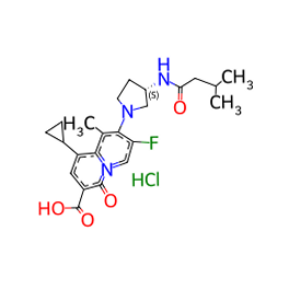 Cc1c(N2CC[C@H](NC(=O)CC(C)C)C2)c(F)cn2c(=O)c(C(=O)O)cc(C3CC3)c12.Cl